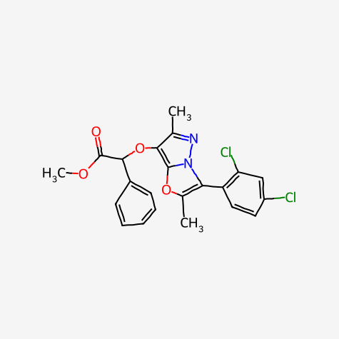 COC(=O)C(Oc1c(C)nn2c(-c3ccc(Cl)cc3Cl)c(C)oc12)c1ccccc1